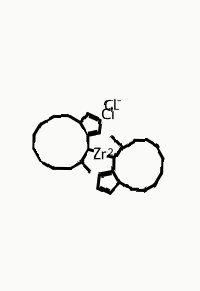 CC1CCCCCCCCC2C=CC=C2[CH]1[Zr+2][CH]1C2=CC=CC2CCCCCCCCC1C.[Cl-].[Cl-]